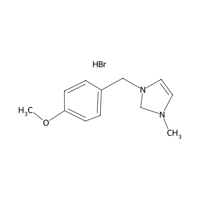 Br.COc1ccc(CN2C=CN(C)C2)cc1